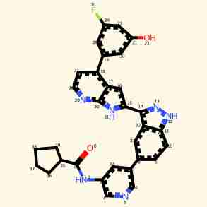 O=C(Nc1cncc(-c2ccc3[nH]nc(-c4cc5c(-c6cc(O)cc(F)c6)ccnc5[nH]4)c3c2)c1)C1CCCC1